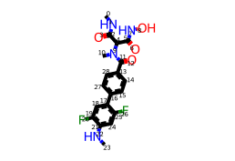 CNC(=O)C(C(=O)NO)N(C)C(=O)c1ccc(-c2cc(F)c(NC)cc2F)cc1